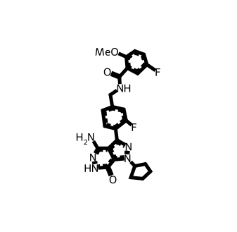 COc1ccc(F)cc1C(=O)NCc1ccc(-c2nn(C3CCCC3)c3c(=O)[nH]nc(N)c23)c(F)c1